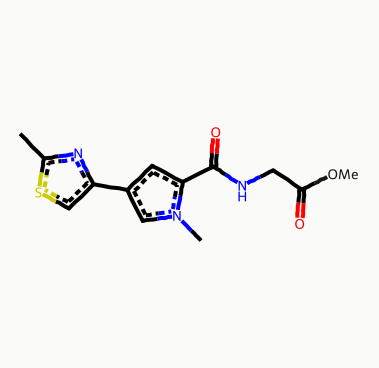 COC(=O)CNC(=O)c1cc(-c2csc(C)n2)cn1C